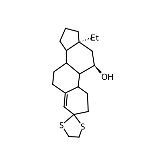 CC[C@@]12CCCC1C1CCC3=CC4(CCC3C1[C@H](O)C2)SCCS4